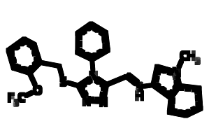 Cn1cc([SH]=Cc2nnc(SCc3ccccc3OC(F)(F)F)n2-c2ccccc2)c2ccccc21